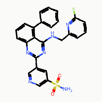 NS(=O)(=O)c1cncc(-c2nc(NCc3cccc(F)n3)c3c(-c4ccccc4)cccc3n2)c1